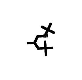 CC(CNC(C)(C)C)CC(C)(C)C